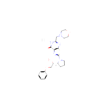 Cn1c(CN2CCOCC2)nc2sc(N3CCC[C@@H]3C(O)COc3ccccc3)nc2c1=O